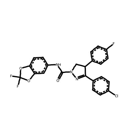 O=C(Nc1ccc2c(c1)OC(F)(F)O2)N1CC(c2ccc(F)cc2)C(c2ccc(Cl)cc2)=N1